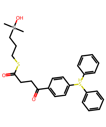 C[Si](C)(O)CCCSC(=O)CCC(=O)c1ccc([SH](c2ccccc2)c2ccccc2)cc1